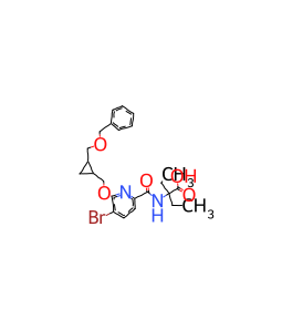 CCC(CC)(NC(=O)c1ccc(Br)c(OCC2CC2COCc2ccccc2)n1)C(=O)O